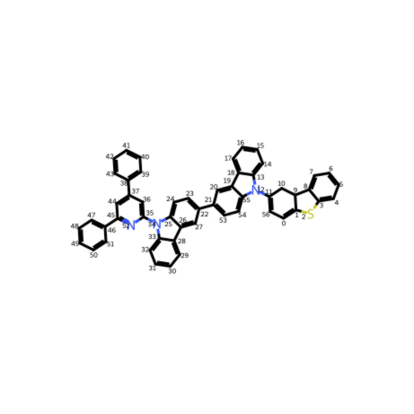 C1=C2Sc3ccccc3C2CC(n2c3ccccc3c3cc(-c4ccc5c(c4)c4ccccc4n5-c4cc(-c5ccccc5)cc(-c5ccccc5)n4)ccc32)=C1